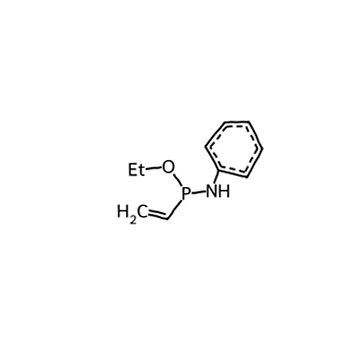 C=CP(Nc1ccccc1)OCC